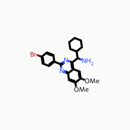 COc1cc2nc(-c3ccc(Br)cc3)nc(C(N)C3CCCCC3)c2cc1OC